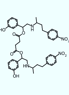 CC(CCc1ccc([N+](=O)[O-])cc1)NCC(OC(=O)CCC(=O)OC(CNC(C)CCc1ccc([N+](=O)[O-])cc1)c1cccc(O)c1)c1cccc(O)c1